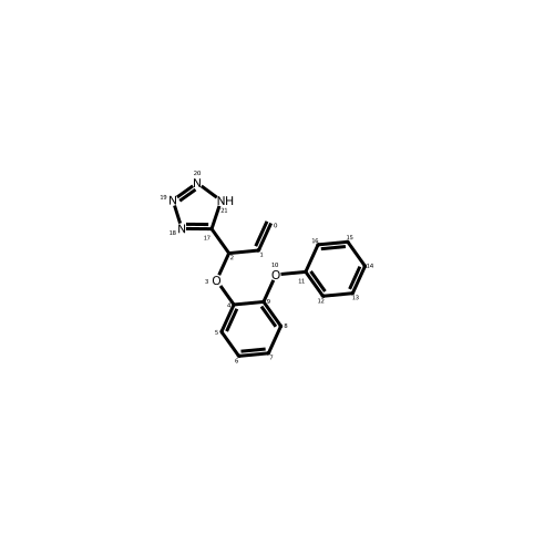 C=CC(Oc1ccccc1Oc1ccccc1)c1nnn[nH]1